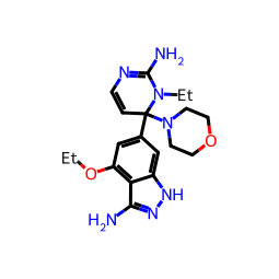 CCOc1cc(C2(N3CCOCC3)C=CN=C(N)N2CC)cc2[nH]nc(N)c12